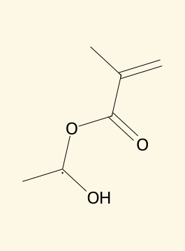 C=C(C)C(=O)O[C](C)O